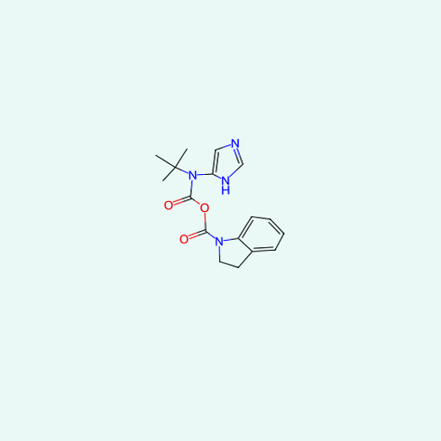 CC(C)(C)N(C(=O)OC(=O)N1CCc2ccccc21)c1cnc[nH]1